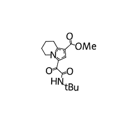 COC(=O)c1cc(C(=O)C(=O)NC(C)(C)C)n2c1CCCC2